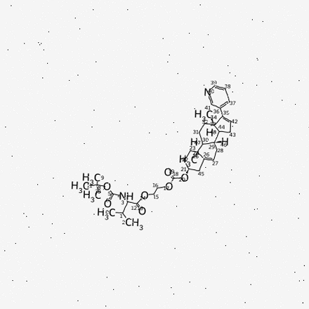 CC(C)[C@H](NC(=O)OC(C)(C)C)C(=O)OCCOC(=O)O[C@H]1CC[C@@]2(C)C(=CC[C@@H]3[C@@H]2CC[C@]2(C)C(c4cccnc4)=CC[C@@H]32)C1